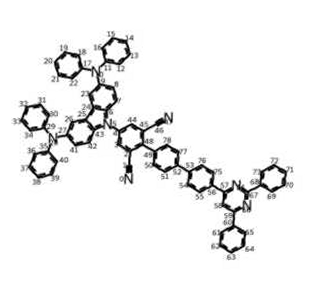 N#Cc1cc(-n2c3ccc(N(c4ccccc4)c4ccccc4)cc3c3cc(N(c4ccccc4)c4ccccc4)ccc32)cc(C#N)c1-c1ccc(-c2ccc(-c3cc(-c4ccccc4)nc(-c4ccccc4)n3)cc2)cc1